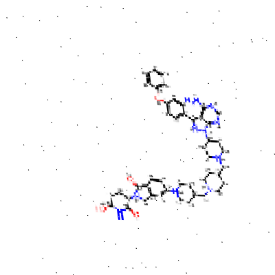 Nc1ncnc2c1c(-c1ccc(Oc3ccccc3)cc1)nn2C1CCN(CC2CCN(CC3CCN(c4ccc5c(c4)CN(C4CCC(O)NC4=O)C5=O)CC3)CC2)CC1